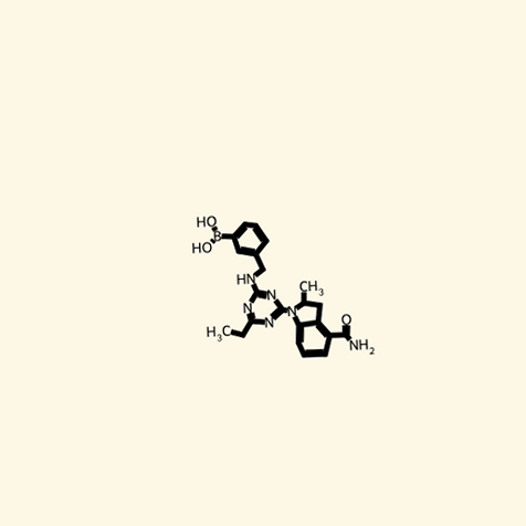 CCc1nc(NCc2cccc(B(O)O)c2)nc(N2c3cccc(C(N)=O)c3CC2C)n1